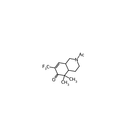 CC(=O)N1CCC2C(C=C(C(F)(F)F)C(=O)C2(C)C)C1